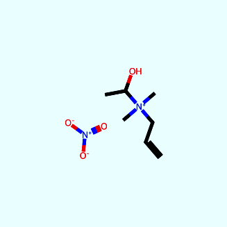 C=CC[N+](C)(C)C(C)O.O=[N+]([O-])[O-]